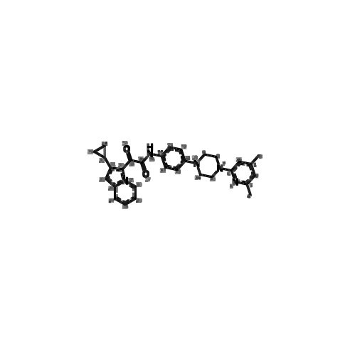 Cc1cc(C)nc(N2CCN(c3ccc(NC(=O)C(=O)c4c(C5CC5)cc5ccccn45)cc3)CC2)c1